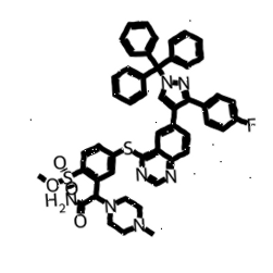 COS(=O)(=O)c1ccc(Sc2ncnc3ccc(-c4cn(C(c5ccccc5)(c5ccccc5)c5ccccc5)nc4-c4ccc(F)cc4)cc23)cc1C(C(N)=O)N1CCN(C)CC1